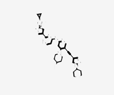 O=S(=O)(C1CC1)n1cc(-c2nccc(Nc3cc(N4CCC(F)CC4)c(C#Cc4cnn(C5CCOCC5)c4)cn3)n2)cn1